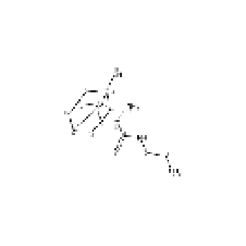 CCCNC(=O)[C@@H](N)C12CC3CC(CC(O)(C3)C1)C2